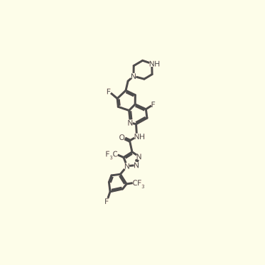 O=C(Nc1cc(F)c2cc(CN3CCNCC3)c(F)cc2n1)c1nnn(-c2ccc(F)cc2C(F)(F)F)c1C(F)(F)F